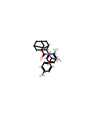 CC(NC(=O)C12CC3CC(CC(C3)C1c1ccccc1Cl)C2)c1ccc(Cl)cc1